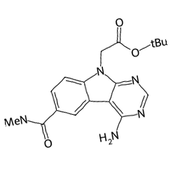 CNC(=O)c1ccc2c(c1)c1c(N)ncnc1n2CC(=O)OC(C)(C)C